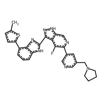 Cc1ccc(-c2cccc3[nH]c(-c4n[nH]c5cnc(-c6cncc(CN7CCCC7)c6)c(F)c45)nc23)s1